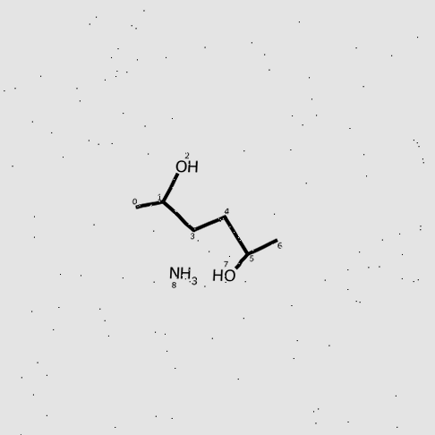 CC(O)CCC(C)O.N